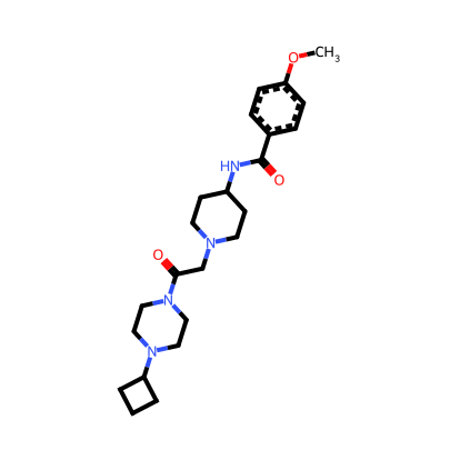 COc1ccc(C(=O)NC2CCN(CC(=O)N3CCN(C4CCC4)CC3)CC2)cc1